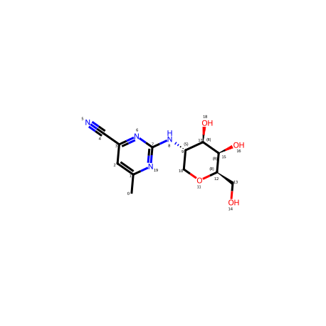 Cc1cc(C#N)nc(N[C@H]2CO[C@H](CO)[C@H](O)[C@@H]2O)n1